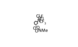 CNC(=O)OC(=O)c1cccc(N(SC(F)(Cl)Cl)C(F)(F)F)c1